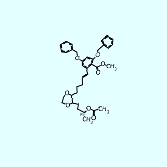 COC(=O)c1c(C=CCCCC2OCCOC2CC[C@@H](C)OC(C)=O)cc(OCc2ccccc2)cc1OCc1ccccc1